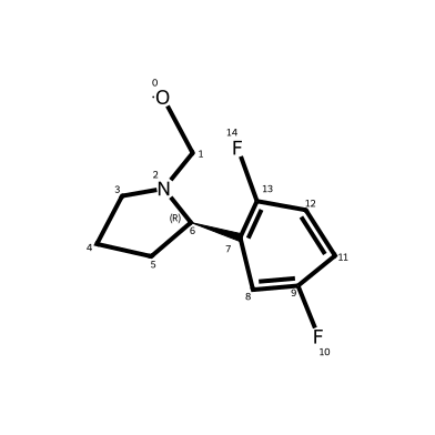 [O]CN1CCC[C@@H]1c1cc(F)ccc1F